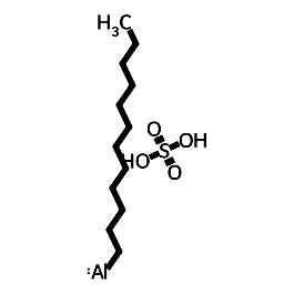 CCCCCCCCCCC[CH2][Al].O=S(=O)(O)O